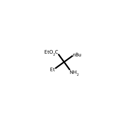 CCCCC(N)(CC)C(=O)OCC